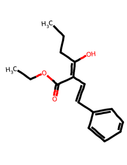 CCCC(O)=C(C=Cc1ccccc1)C(=O)OCC